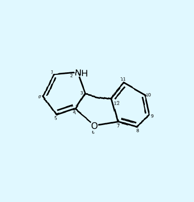 C1=CNC2C(=C1)Oc1ccccc12